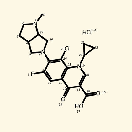 CN1CCC2CN(c3c(F)cc4c(=O)c(C(=O)O)cn(C5CC5)c4c3Cl)CC21.Cl